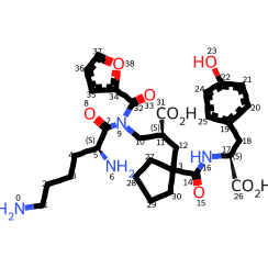 NCCCC[C@H](N)C(=O)N(C[C@H](CC1(C(=O)N[C@@H](Cc2ccc(O)cc2)C(=O)O)CCCC1)C(=O)O)C(=O)c1ccco1